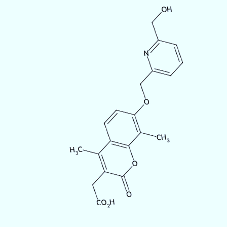 Cc1c(CC(=O)O)c(=O)oc2c(C)c(OCc3cccc(CO)n3)ccc12